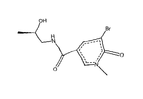 C[C@@H](O)CNC(=O)c1cc(Br)c(=O)n(C)c1